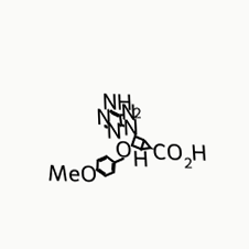 COc1ccc(CO[C@H]2[C@@H]3C([C@H]2n2cnc4c(N)ncnc42)[C@@H]3C(=O)O)cc1